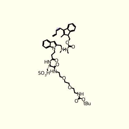 C=C/C=C\C1=C(C)C(COC(=O)N(C)N(C)Cc2cc3ccccc3n2CCC(=O)N[C@@H](CS(=O)(=O)O)C(=O)NCCOCCOCCNC(=O)OC(C)(C)C)c2ccccc21